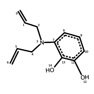 C=CCN(CC=C)c1cccc(O)c1O